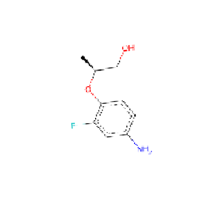 C[C@@H](CO)Oc1ccc(N)cc1F